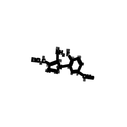 CCOC(=O)c1nnn(-c2cc(OC)ccc2F)c1N